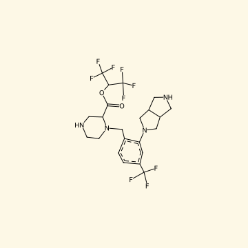 O=C(OC(C(F)(F)F)C(F)(F)F)C1CNCCN1Cc1ccc(C(F)(F)F)cc1N1CC2CNCC2C1